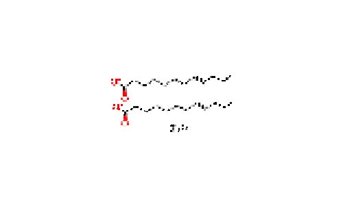 CCCC=CCCCCCCC(=O)[O-].CCCC=CCCCCCCC(=O)[O-].[Zn+2]